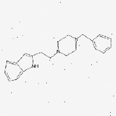 c1ccc(CN2CCN(CCc3cc4ccccc4[nH]3)CC2)cc1